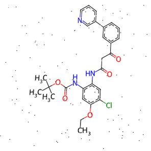 CCOc1cc(NC(=O)OC(C)(C)C)c(NC(=O)CC(=O)c2cccc(-c3cccnc3)c2)cc1Cl